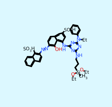 CCO[Si](C)(CCCNc1nc(Nc2cc(S(=O)(=O)O)cc3ccc(/N=N/c4ccc5ccccc5c4S(=O)(=O)O)c(O)c23)nc(N(CC)c2ccccc2)n1)OCC